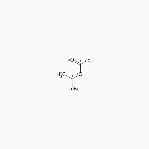 [CH2]CC(=O)OC(C)CCCC